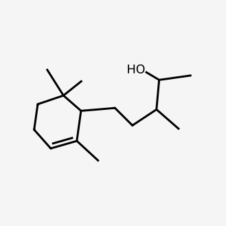 CC1=CCCC(C)(C)C1CCC(C)C(C)O